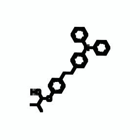 CC(C)C(O)Oc1ccc(CCc2ccc(N(c3ccccc3)c3ccccc3)cc2)cc1